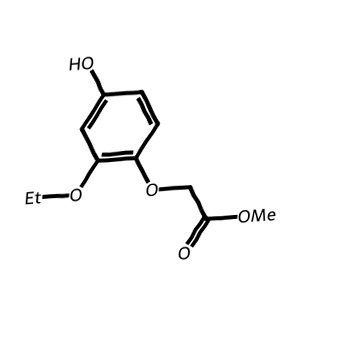 CCOc1cc(O)ccc1OCC(=O)OC